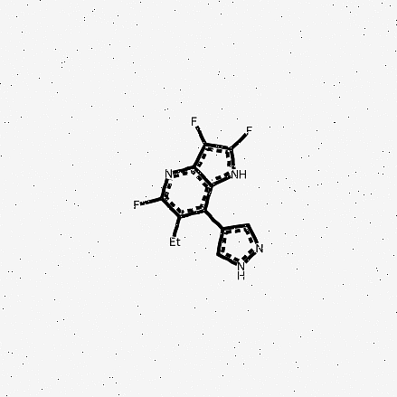 CCc1c(F)nc2c(F)c(F)[nH]c2c1-c1cn[nH]c1